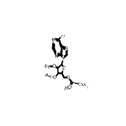 CCOC1C(OC(C)=O)C(CO[C@@H](C)O)OC1n1cnc2c(Cl)ncnc21